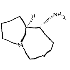 N[C@@H]1CCCN2CCC[C@@H]12